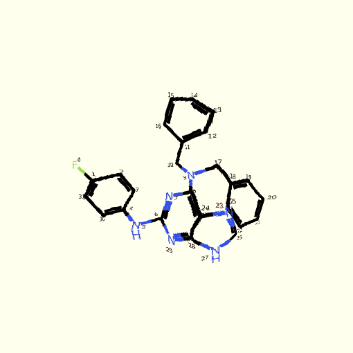 Fc1ccc(Nc2nc(N(Cc3ccccc3)Cc3ccccc3)c3nc[nH]c3n2)cc1